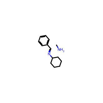 C(=NC1CCCCC1)c1ccccc1.CN